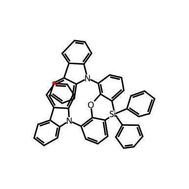 c1ccc([Si]2(c3ccccc3)c3cccc(-n4c5ccccc5c5ccccc54)c3Oc3c(-n4c5ccccc5c5ccccc54)cccc32)cc1